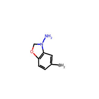 Bc1ccc2c(c1)N(N)CO2